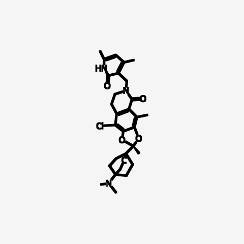 Cc1cc(C)c(CN2CCc3c(Cl)c4c(c(C)c3C2=O)O[C@](C)(C23CCC(N(C)C)(CC2)CC3)O4)c(=O)[nH]1